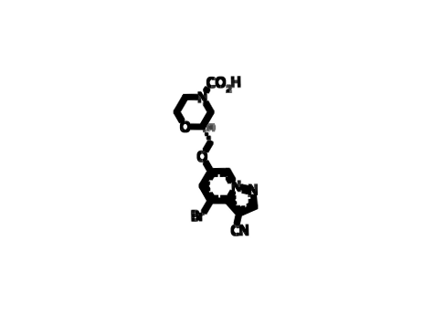 N#Cc1cnn2cc(OC[C@H]3CN(C(=O)O)CCO3)cc(Br)c12